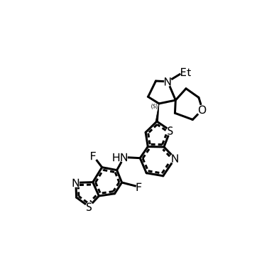 CCN1CC[C@H](c2cc3c(Nc4c(F)cc5scnc5c4F)ccnc3s2)C12CCOCC2